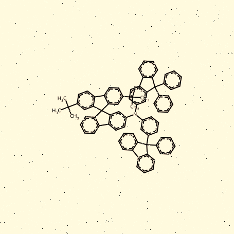 CC(C)(C)c1ccc2c(c1)C1(c3ccccc3-c3ccc(N(c4cccc(C5(c6ccccc6)c6ccccc6-c6ccccc65)c4)c4ccc5c(c4)C(c4ccccc4)(c4ccccc4)c4ccccc4-5)cc31)c1cc(C(C)(C)C)ccc1-2